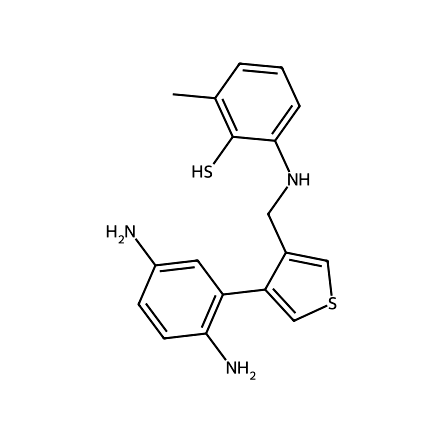 Cc1cccc(NCc2cscc2-c2cc(N)ccc2N)c1S